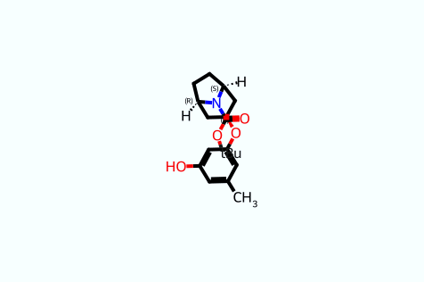 Cc1cc(O)cc(O[C@H]2C[C@H]3CC[C@@H](C2)N3C(=O)OC(C)(C)C)c1